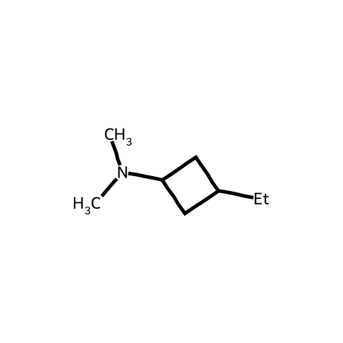 CCC1CC(N(C)C)C1